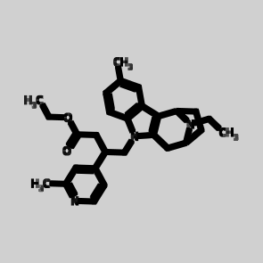 CCOC(=O)CC(Cn1c2c(c3cc(C)ccc31)C1CCC(C2)N1CC)c1ccnc(C)c1